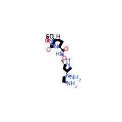 N/C=C\N(N)[C@@H]1CN[C@@H](CONC(=O)[C@@H]2CC[C@H]3CN2C(=O)N3OS(=O)(=O)O)C1